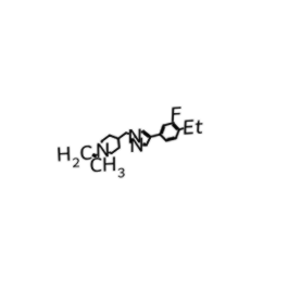 C=C(C)N1CCC(Cn2cc(-c3ccc(CC)c(F)c3)cn2)CC1